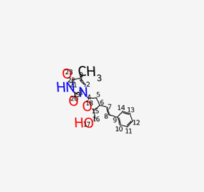 Cc1cn([C@H]2CC(C=Cc3ccccc3)[C@@H](CO)O2)c(=O)[nH]c1=O